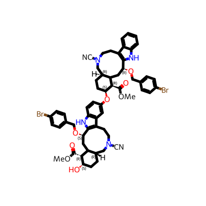 COC(=O)[C@@H]1C2C[C@@H](OCc3ccc(Br)cc3)c3[nH]c4ccccc4c3CCN(C#N)C[C@@H]2CC[C@@H]1Oc1ccc2[nH]c3c(c2c1)CCN(C#N)C[C@@H]1CC[C@H](O)[C@H](C(=O)OC)C1C[C@@H]3OCc1ccc(Br)cc1